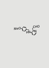 COc1ccc(CNc2cccnc2CC=O)cc1